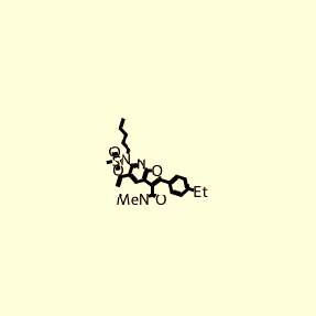 C=CCCCN(c1nc2oc(-c3ccc(CC)cc3)c(C(=O)NC)c2cc1C=C)S(C)(=O)=O